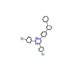 Brc1ccc(-c2cc(-c3ccc(-c4cccc(-c5ccccc5)c4)cc3)nc(-c3ccc(Br)cc3)n2)cc1